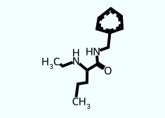 CCCC(NCC)C(=O)NCc1ccccc1